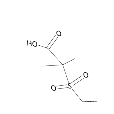 CCS(=O)(=O)C(C)(C)C(=O)O